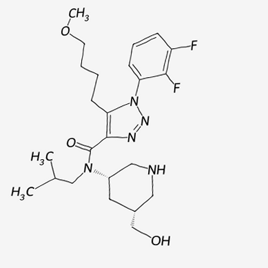 COCCCCc1c(C(=O)N(CC(C)C)[C@@H]2CNC[C@H](CO)C2)nnn1-c1cccc(F)c1F